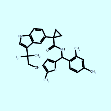 Cc1ccc(C(NC(=O)C2(c3ccc4[nH]cc(C(C)(C)CO)c4c3)CC2)c2ccc(C)o2)c(C)c1